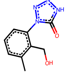 Cc1cccc(-n2nn[nH]c2=O)c1CO